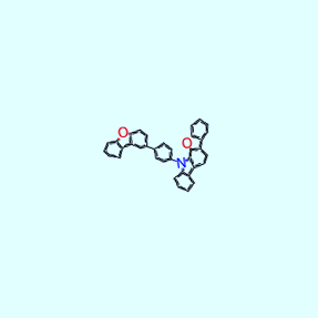 c1ccc2c(c1)oc1ccc(-c3ccc(-n4c5ccccc5c5ccc6c7ccccc7oc6c54)cc3)cc12